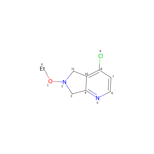 CCON1Cc2nccc(Cl)c2C1